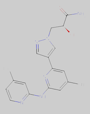 Cc1cc(Nc2cc(C(F)(F)F)ccn2)nc(-c2cnn(C[C@H](O)C(N)=O)c2)c1